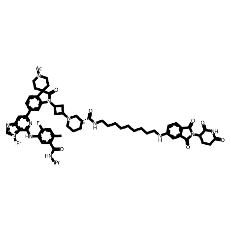 CC(=O)N1CCC2(CC1)C(=O)N(C1CC(N3CCC[C@@H](C(=O)NCCCCCCCCCNc4ccc5c(c4)C(=O)N(C4CCC(=O)NC4=O)C5=O)C3)C1)c1cc(-c3cc4ncn(C(C)C)c4c(Nc4cc(C(=O)NC(C)C)c(C)cc4F)n3)ccc12